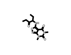 CCC(=O)C(CC)Nc1onc2c1c(=O)n(C)c(=O)n2C